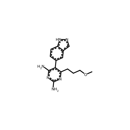 COCCCc1nc(N)nc(N)c1-c1ccc2[nH]ncc2c1